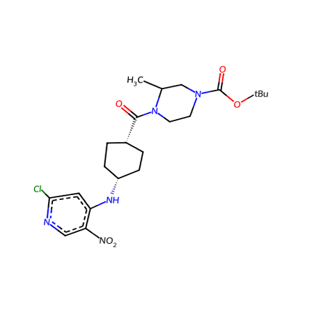 CC1CN(C(=O)OC(C)(C)C)CCN1C(=O)[C@H]1CC[C@@H](Nc2cc(Cl)ncc2[N+](=O)[O-])CC1